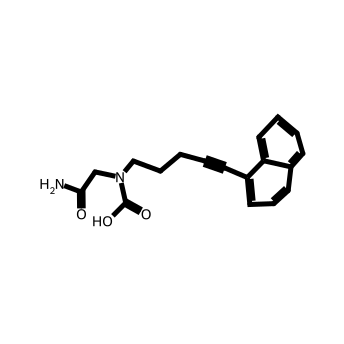 NC(=O)CN(CCCC#Cc1cccc2ccccc12)C(=O)O